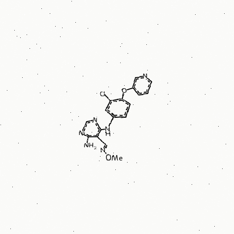 CO/N=C/c1c(N)ncnc1Nc1ccc(Oc2cccnc2)c(Cl)c1